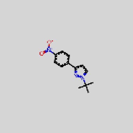 CC(C)(C)n1ccc(-c2ccc([N+](=O)[O-])cc2)n1